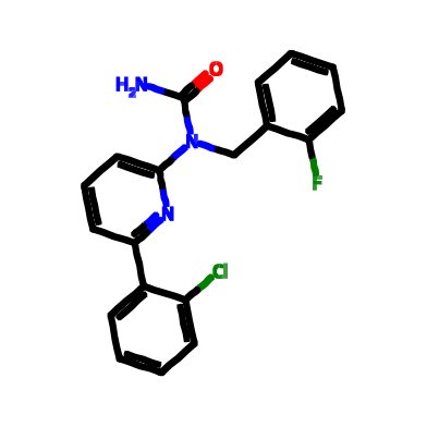 NC(=O)N(Cc1ccccc1F)c1cccc(-c2ccccc2Cl)n1